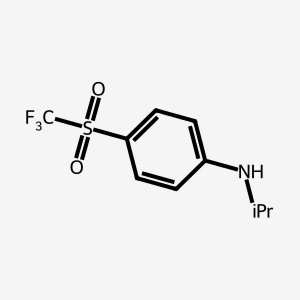 CC(C)Nc1ccc(S(=O)(=O)C(F)(F)F)cc1